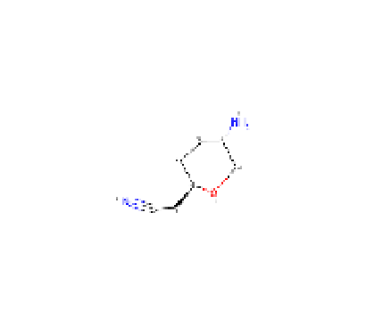 N#CC[C@H]1CC[C@H](N)CO1